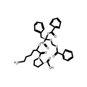 NCCCCC(O[PH](=O)[C@@](Cc1ccccc1)(OCOC(=O)c1ccccc1)OC(=O)c1ccccc1)C(=O)N1CCC[C@H]1C(=O)O